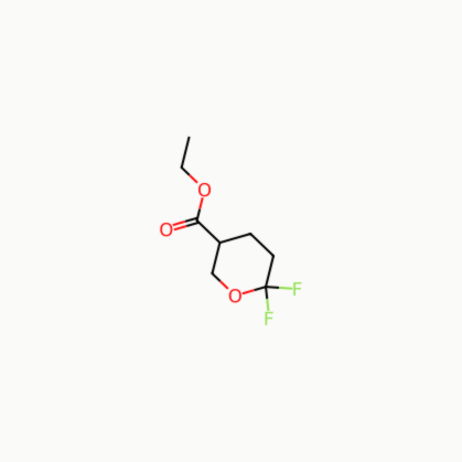 CCOC(=O)C1CCC(F)(F)OC1